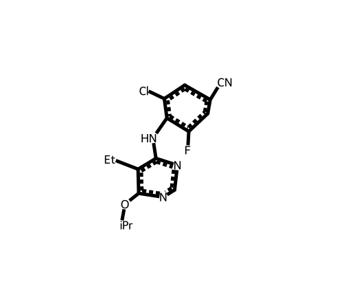 CCc1c(Nc2c(F)cc(C#N)cc2Cl)ncnc1OC(C)C